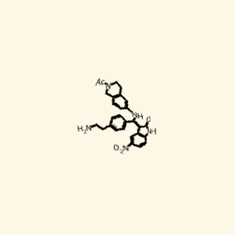 CC(=O)N1CCc2cc(N/C(=C3\C(=O)Nc4ccc([N+](=O)[O-])cc43)c3ccc(CCN)cc3)ccc2C1